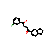 O=C(CCC(=O)c1ccc2c(c1)CCC2)c1cccc(F)c1